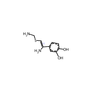 NCS/C=C(\N)c1ccc(O)c(O)c1